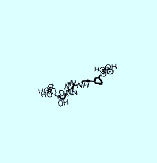 O=P(O)(O)OCc1cccc(C#CCNc2ncnc3c2ncn3[C@H]2C[C@H](O)[C@@H](COP(=O)(O)O)O2)c1